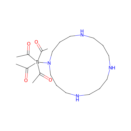 C[C](=O)[Ti]([C](C)=O)([C](C)=O)([C](C)=O)[N]1CCCNCCCNCCCNCCC1